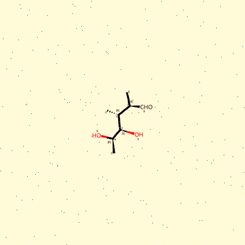 C[C@@H]([C@@H](O)[C@@H](C)O)[C@@H](C)C=O